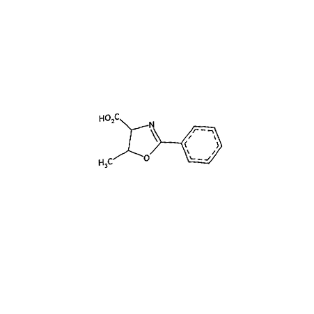 CC1OC(c2ccccc2)=NC1C(=O)O